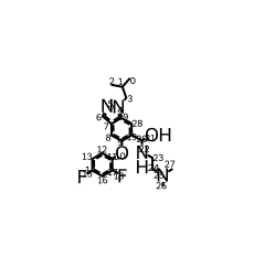 CC(C)Cn1ncc2cc(Oc3ccc(F)cc3F)c(C(O)NCCN(C)C)cc21